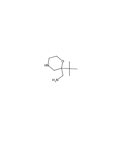 CC(C)(C)C1(CN)CNCCO1